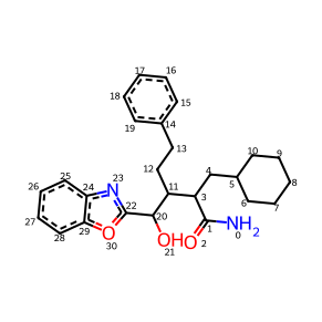 NC(=O)C(CC1CCCCC1)C(CCc1ccccc1)C(O)c1nc2ccccc2o1